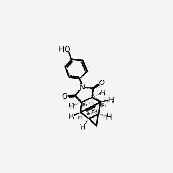 O=C1[C@@H]2[C@@H]3C=C[C@@H]([C@H]4C[C@@H]34)[C@@H]2C(=O)N1c1ccc(O)cc1